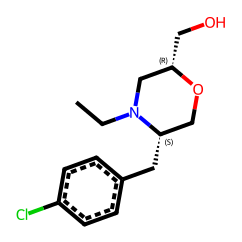 CCN1C[C@H](CO)OC[C@@H]1Cc1ccc(Cl)cc1